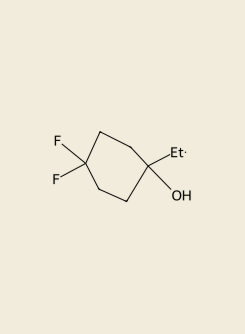 C[CH]C1(O)CCC(F)(F)CC1